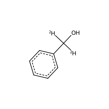 [2H]C([2H])(O)c1ccccc1